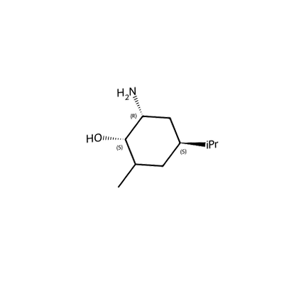 CC(C)[C@H]1CC(C)[C@H](O)[C@H](N)C1